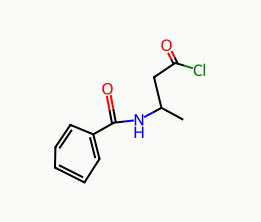 CC(CC(=O)Cl)NC(=O)c1ccccc1